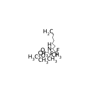 C=CCCCCC(NC(C(=O)OC(C)(C)C)C(C)C)C(F)(F)F